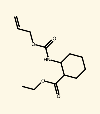 C=CCOC(=O)NC1CCCCC1C(=O)OCC